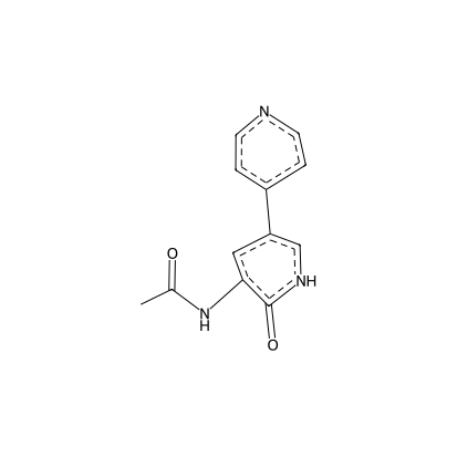 CC(=O)Nc1cc(-c2ccncc2)c[nH]c1=O